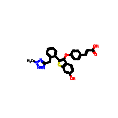 Cn1nnc(Cc2ccccc2-c2sc3cc(O)ccc3c2Oc2ccc(C=CC(=O)O)cc2)n1